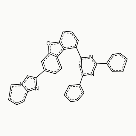 c1ccc(-c2nc(-c3ccccc3)nc(-c3cccc4oc5cc(-c6cn7ccccc7n6)ccc5c34)n2)cc1